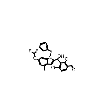 Cc1cc(OC(F)F)cc2c1cc(C(O)c1c(Cl)ccc(C=O)c1Cl)n2Sc1ccccc1